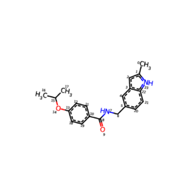 Cc1cc2cc(CNC(=O)c3ccc(OC(C)C)cc3)ccc2[nH]1